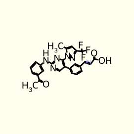 CC(=O)c1cccc(Nc2ncc(-c3cccc(/C=C/C(=O)O)c3)c(-n3nc(C(F)(F)F)cc3C)n2)c1